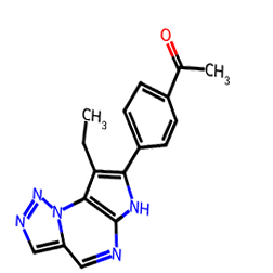 CCc1c(-c2ccc(C(C)=O)cc2)[nH]c2ncc3cnnn3c12